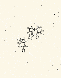 O=C(NCCCc1c[nH]c2ccc(Cl)cc12)c1ccccc1-n1cccn1